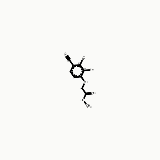 COC(=O)COc1ccc(C#N)c(Br)c1F